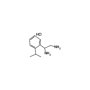 CC(C)c1ccccc1C(N)CN.Cl